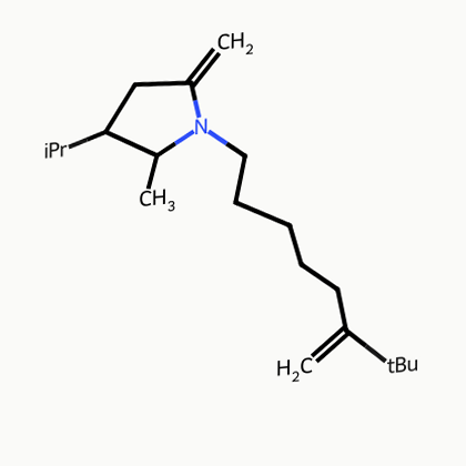 C=C1CC(C(C)C)C(C)N1CCCCCC(=C)C(C)(C)C